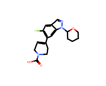 O=C(O)N1CC=C(c2cc3c(cnn3C3CCCCO3)cc2F)CC1